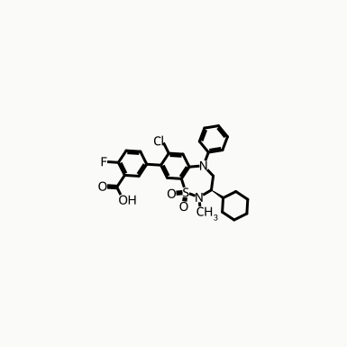 CN1[C@H](C2CCCCC2)CN(c2ccccc2)c2cc(Cl)c(-c3ccc(F)c(C(=O)O)c3)cc2S1(=O)=O